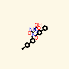 C#Cc1ccc(-c2cccc(CN(C(=O)c3ccc(-c4ccccc4)cc3)[C@@H](CCC(=O)O)C(N)=O)c2)cc1